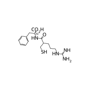 N=C(N)NCCCC(CS)C(=O)N[C@@H](Cc1ccccc1)C(=O)O